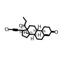 CCCC12CC[C@H]3[C@@H](CCC4=CC(=O)CC[C@@H]43)[C@@H]1CC[C@@]2(O)C#CCl